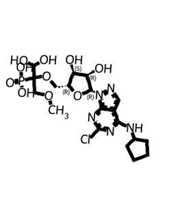 COCC(OC[C@H]1O[C@@H](n2ncc3c(NC4CCCC4)nc(Cl)nc32)[C@H](O)[C@@H]1O)(C(O)O)P(=O)(O)O